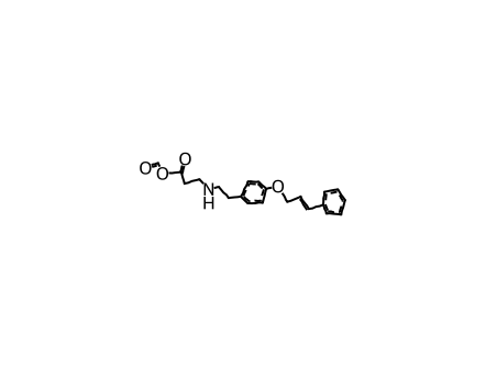 O=COC(=O)CCNCCc1ccc(OC/C=C/c2ccccc2)cc1